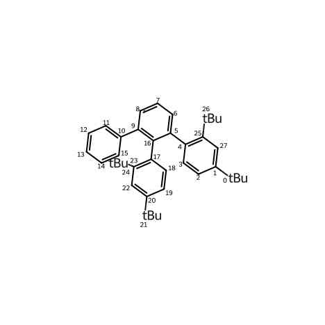 CC(C)(C)c1ccc(-c2cc[c]c(-c3ccccc3)c2-c2ccc(C(C)(C)C)cc2C(C)(C)C)c(C(C)(C)C)c1